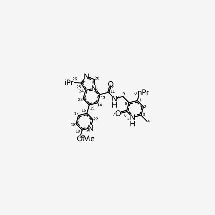 CCCc1cc(C)[nH]c(=O)c1CNC(=O)c1cc(-c2ccc(OC)nc2)cc2c(C(C)C)ncn12